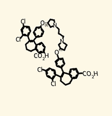 O=C(O)c1ccc2c(c1)CCCC(c1ccc(Cl)cc1Cl)=C2c1ccc(O[C@@H]2CCN(CCCN3CC[C@H](Oc4ccc(C5=C(c6ccc(Cl)cc6Cl)CCCc6cc(C(=O)O)ccc65)cc4)C3)C2)cc1